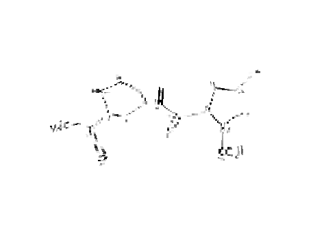 COC(=O)[C@H]1C[C@@H](NC(=O)[C@@H]2C[C@H](F)CN2C(=O)O)CN1